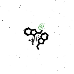 CCC1CC2C=CC=CC2[CH]1[Hf+2]([CH]1C(CC)CC2C=CC=CC21)=[Si](C)C.[Cl-].[Cl-]